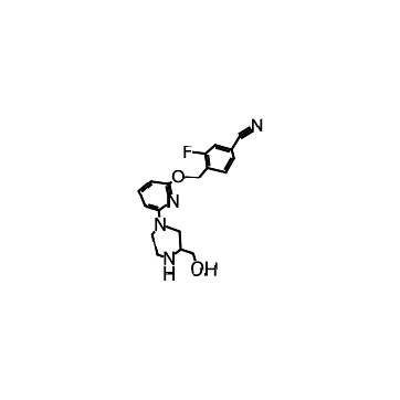 N#Cc1ccc(COc2cccc(N3CCNC(CO)C3)n2)c(F)c1